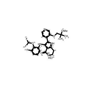 COC(C)(C)COc1cnccc1-c1[nH]c2c(c1Nc1cccc(F)c1OC(F)F)C(=O)NCC2.Cl